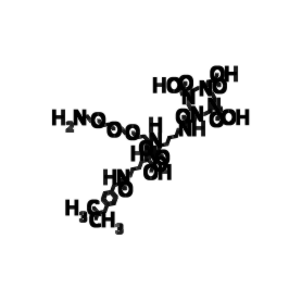 CC(C)Cc1ccc(CC(=O)NCCCCC(NC(=O)C(CCCCNC(=O)CN2CCN(CC(=O)O)CCN(CC(=O)O)CCN(CC(=O)O)CC2)NC(=O)CCOCCOCCOCCN)C(=O)O)cc1